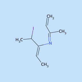 C=C/C(C)=N\C(=C/C)C(C)I